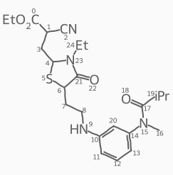 CCOC(=O)C(C#N)CC1SC(CCNc2cccc(N(C)C(=O)C(C)C)c2)C(=O)N1CC